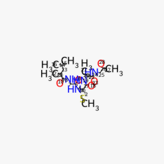 CSC[C@H](NC(=O)CNC(=O)[C@@H](C)CC(C)C)C(=O)N[C@@H](C)C(=O)NCC(C)=O